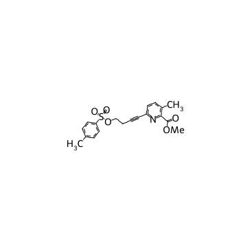 COC(=O)c1nc(C#CCCOS(=O)(=O)c2ccc(C)cc2)ccc1C